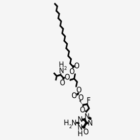 CCCCCCCCCCCCCCCCCC(=O)OCC(CCOC(=O)OC[C@H]1O[C@@H](n2cnc3c(=O)[nH]c(N)nc32)C[C@@H]1F)COC(=O)[C@@H](N)C(C)C